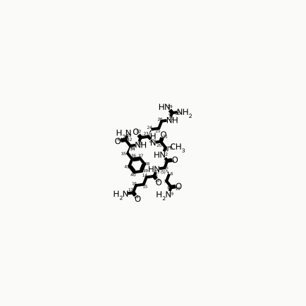 C[C@H](NC(=O)[C@H](CCC(N)=O)NC(=O)CCCC(N)=O)C(=O)N[C@@H](CCCNC(=N)N)C(=O)N[C@@H](Cc1ccccc1)C(N)=O